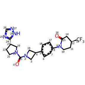 O=C(N1CC(c2ccc(N3CC[C@H](C(F)(F)F)CC3=O)cc2)C1)N1CC[C@H](c2ncn[nH]2)C1